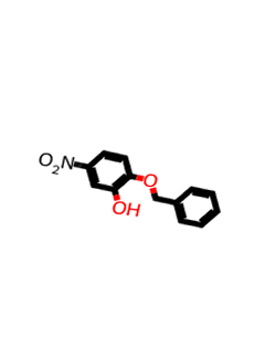 O=[N+]([O-])c1ccc(OCc2ccccc2)c(O)c1